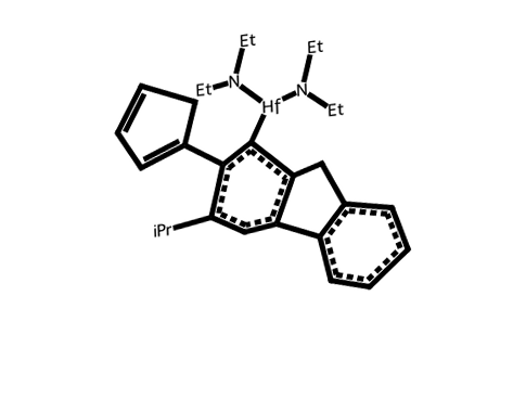 CC[N](CC)[Hf]([c]1c2c(cc(C(C)C)c1C1=CC=CC1)-c1ccccc1C2)[N](CC)CC